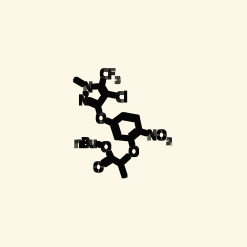 CCCCOC(=O)C(C)Oc1cc(Oc2nn(C)c(C(F)(F)F)c2Cl)ccc1[N+](=O)[O-]